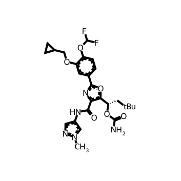 Cn1cc(NC(=O)c2nc(-c3ccc(OC(F)F)c(OCC4CC4)c3)oc2[C@H](CC(C)(C)C)OC(N)=O)cn1